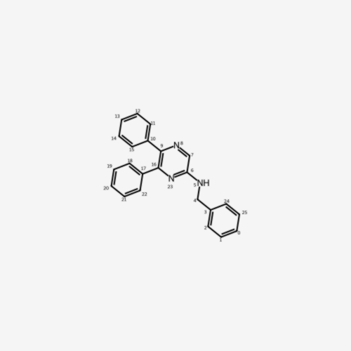 c1ccc(CNc2cnc(-c3ccccc3)c(-c3ccccc3)n2)cc1